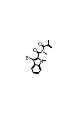 C=C(C)C(=O)N(C)C(=O)c1c(Br)c2ccccc2n1C